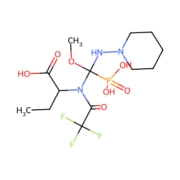 CCC(C(=O)O)N(C(=O)C(F)(F)F)C(NN1CCCCC1)(OC)P(=O)(O)O